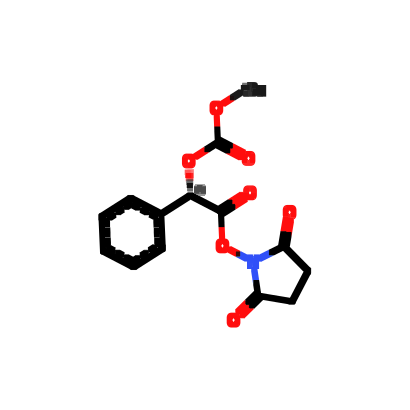 CC(C)(C)OC(=O)O[C@H](C(=O)ON1C(=O)CCC1=O)c1ccccc1